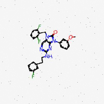 COc1cccc(-n2c(=O)n(Cc3c(F)cccc3F)c3cnc(NCCc4cccc(F)c4)nc32)c1